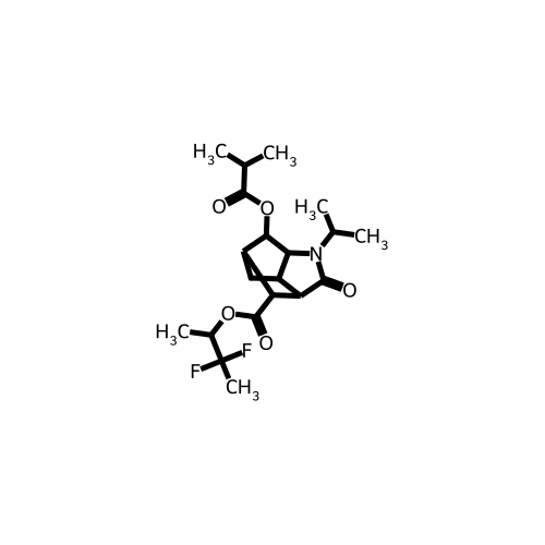 CC(C)C(=O)OC1C2CC3C(C(=O)N(C(C)C)C31)C2C(=O)OC(C)C(C)(F)F